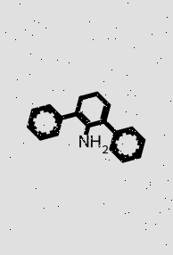 NC1=C(c2ccccc2)CCC=C1c1ccccc1